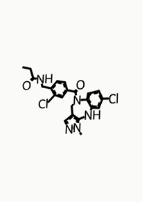 CCC(=O)NCc1ccc(C(=O)N2Cc3cnn(C)c3Nc3cc(Cl)ccc32)cc1Cl